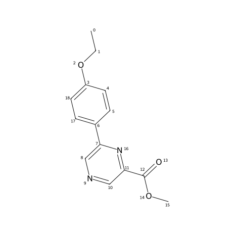 CCOc1ccc(-c2cncc(C(=O)OC)n2)cc1